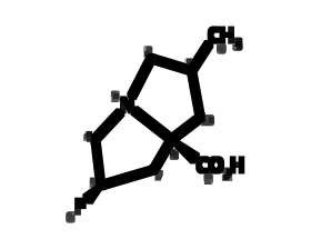 CC1CN2C[C@H](F)C[C@@]2(C(=O)O)C1